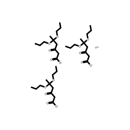 CCCOC(C)(CC(=O)CC(=O)[O-])OCCC.CCCOC(C)(CC(=O)CC(=O)[O-])OCCC.CCCOC(C)(CC(=O)CC(=O)[O-])OCCC.[Y+3]